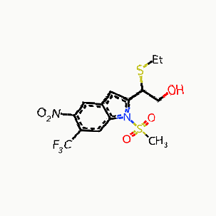 CCSC(CO)c1cc2cc([N+](=O)[O-])c(C(F)(F)F)cc2n1S(C)(=O)=O